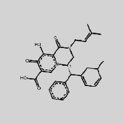 CC(C)=CCN1C[C@H](C(C2=CC=CC(C)C2)c2ccccc2)n2cc(C(=O)O)c(=O)c(O)c2C1=O